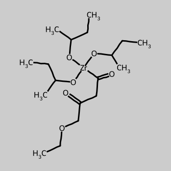 CCOCC(=O)C[C](=O)[Zr]([O]C(C)CC)([O]C(C)CC)[O]C(C)CC